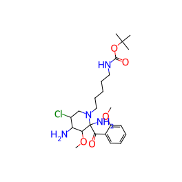 COc1ccccc1C(=O)C1(N)C(OC)C(N)C(Cl)CN1CCCCCNC(=O)OC(C)(C)C